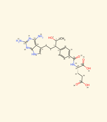 CC(O)C(CCc1c[nH]c2nc(N)nc(N)c12)c1ccc(C(=O)N[C@@H](CCC(=O)O)C(=O)O)cc1